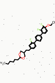 CCCCCCC1OCC(CCc2ccc(-c3ccc(-c4ccc(OCC)c(F)c4F)cc3)c(F)c2)CO1